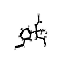 C=Cc1cccc(C(N)(CCC)CCC)c1